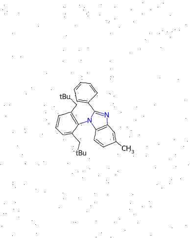 Cc1ccc2c(c1)nc(-c1ccccc1)n2-c1c(CC(C)(C)C)cccc1CC(C)(C)C